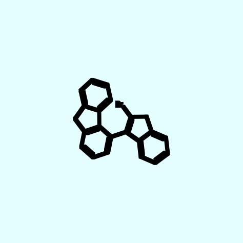 BrC1=C(c2cccc3c2-c2ccccc2C3)c2ccccc2C1